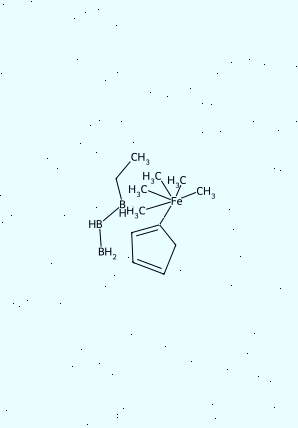 BBBCC.[CH3][Fe]([CH3])([CH3])([CH3])([CH3])[C]1=CC=CC1